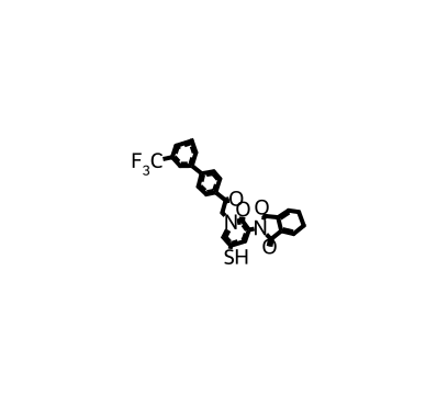 O=C(Cn1cc(S)cc(N2C(=O)C3=CCCC=C3C2=O)c1=O)c1ccc(-c2cccc(C(F)(F)F)c2)cc1